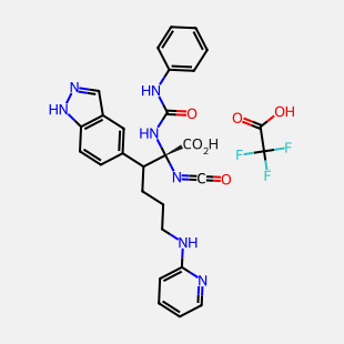 O=C(O)C(F)(F)F.O=C=N[C@](NC(=O)Nc1ccccc1)(C(=O)O)C(CCCNc1ccccn1)c1ccc2[nH]ncc2c1